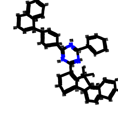 C[Si]1(C)c2c(-c3nc(-c4ccccc4)nc(-c4ccc(-c5cccc6ccccc56)cc4)n3)cccc2-c2ccc3ccccc3c21